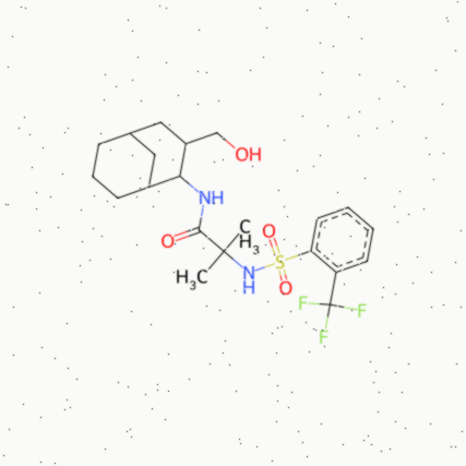 CC(C)(NS(=O)(=O)c1ccccc1C(F)(F)F)C(=O)NC1C(CO)CC2CCCC1C2